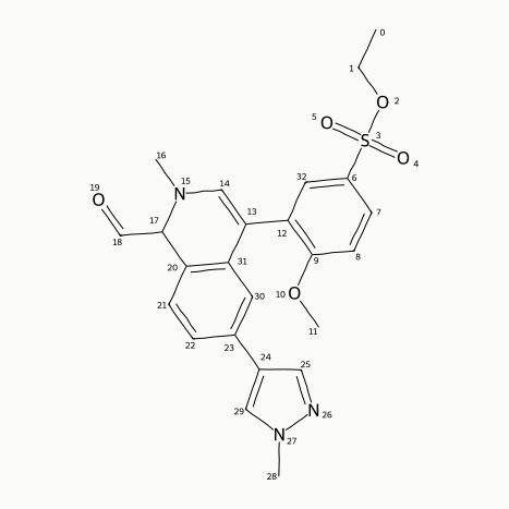 CCOS(=O)(=O)c1ccc(OC)c(C2=CN(C)C(C=O)c3ccc(-c4cnn(C)c4)cc32)c1